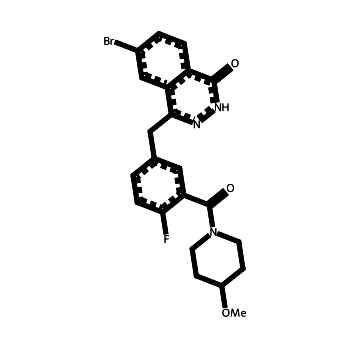 COC1CCN(C(=O)c2cc(Cc3n[nH]c(=O)c4ccc(Br)cc34)ccc2F)CC1